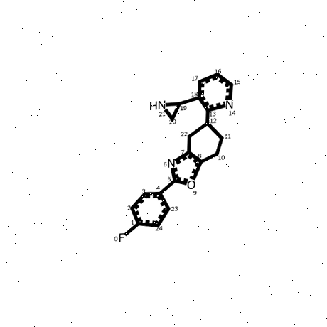 Fc1ccc(-c2nc3c(o2)CCC(c2ncccc2C2CN2)C3)cc1